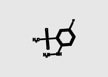 CS(=O)(=O)c1cc(F)ccc1NN